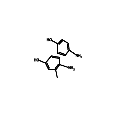 Cc1cc(O)ccc1N.Nc1ccc(O)cc1